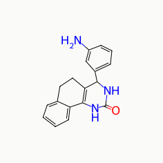 Nc1cccc(C2NC(=O)NC3=C2CCc2ccccc23)c1